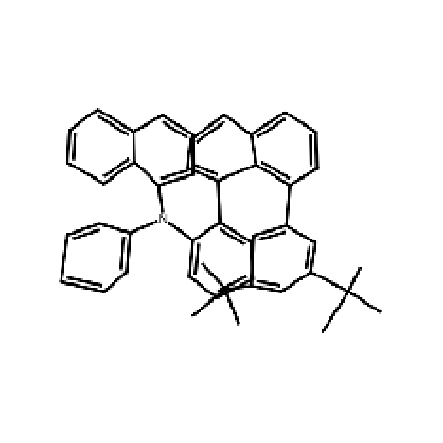 CC(C)(C)c1cc(-c2cccc3cccc(-c4ccccc4N(c4ccccc4)c4cccc5ccccc45)c23)cc(C(C)(C)C)c1